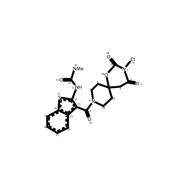 CCN1C(=O)CC2(CCN(C(=O)c3c(NC(=O)NC)sc4ccccc34)CC2)OC1=O